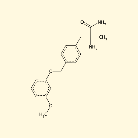 COc1cccc(OCc2ccc(CC(C)(N)C(N)=O)cc2)c1